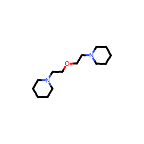 C1CCN(CCOCCN2CCCCC2)CC1